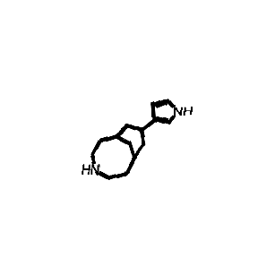 c1cc(C2CC3CCNCCC(C3)C2)c[nH]1